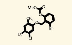 CCc1cc(C(F)(F)F)c(OCc2c(Br)cccc2OC(=O)OC)cc1Cl